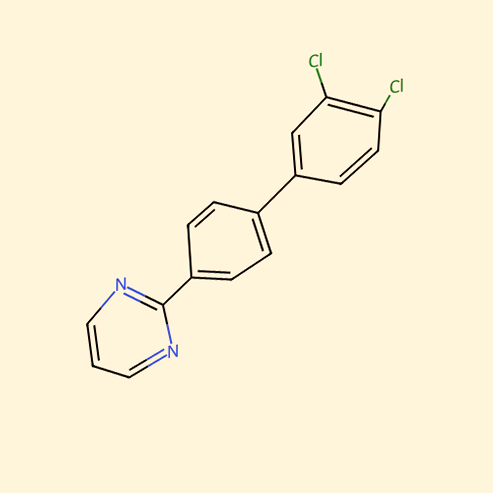 Clc1ccc(-c2ccc(-c3ncccn3)cc2)cc1Cl